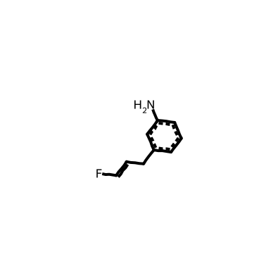 Nc1cccc(CC=CF)c1